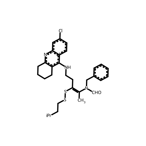 CC(=C(CCNc1c2c(nc3cc(Cl)ccc13)CCCC2)SSCCC(C)C)N(C=O)Cc1ccccc1